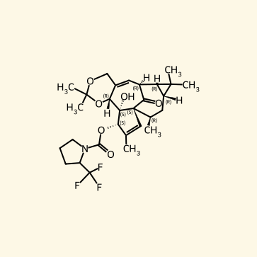 CC1=C[C@]23C(=O)[C@@H](C=C4COC(C)(C)O[C@H]4[C@]2(O)[C@H]1OC(=O)N1CCCC1C(F)(F)F)[C@H]1[C@@H](C[C@H]3C)C1(C)C